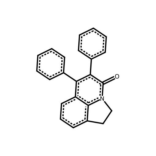 O=c1c(-c2ccccc2)c(-c2ccccc2)c2cccc3c2n1CC3